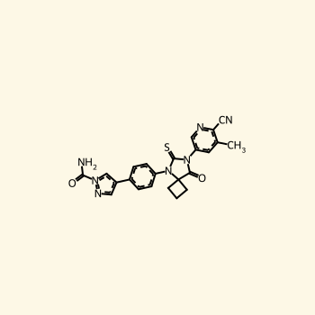 Cc1cc(N2C(=O)C3(CCC3)N(c3ccc(-c4cnn(C(N)=O)c4)cc3)C2=S)cnc1C#N